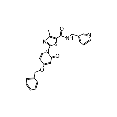 Cc1nc(-n2ccc(OCc3ccccc3)cc2=O)sc1C(=O)NCc1cccnc1